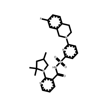 CC1CN(c2ncccc2C(=O)NS(=O)(=O)c2cccc(N3CCc4ccc(F)cc4C3)n2)C(C)(C)C1